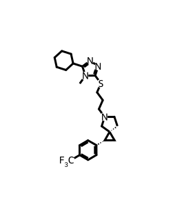 Cn1c(SCCCN2CC[C@@]3(C[C@@H]3c3ccc(C(F)(F)F)cc3)C2)nnc1C1CCCCC1